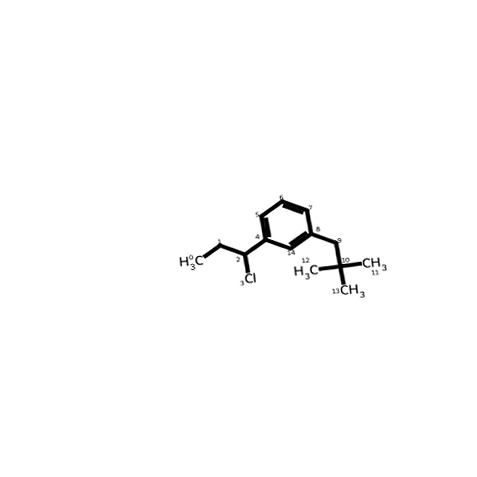 CCC(Cl)c1cccc(CC(C)(C)C)c1